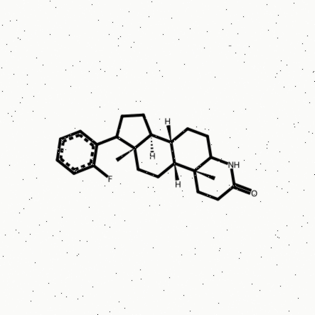 C[C@]12CCC(=O)NC1CC[C@@H]1[C@H]2CC[C@]2(C)C(c3ccccc3F)CC[C@@H]12